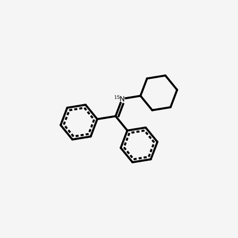 c1ccc(C(=[15N]C2CCCCC2)c2ccccc2)cc1